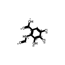 O=CNc1c(C(=O)O)cc(Cl)c(Cl)c1O